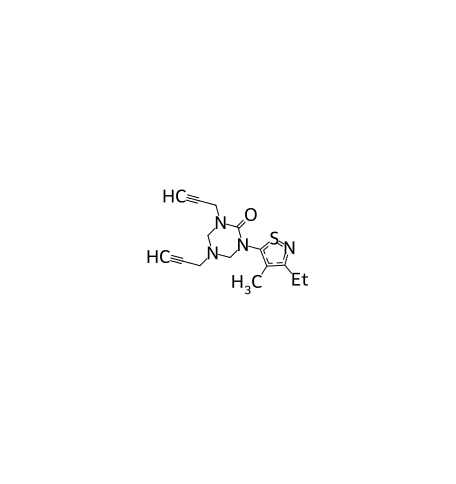 C#CCN1CN(CC#C)C(=O)N(c2snc(CC)c2C)C1